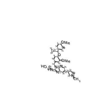 COc1ccc(C(Oc2ccc(Cn3c(NC(=O)O)nc4cc(-c5cnn(C)c5)cnc43)cc2OC)C2CC2)cn1